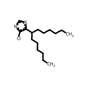 CCCCCCC(CCCCCC)c1scnc1Cl